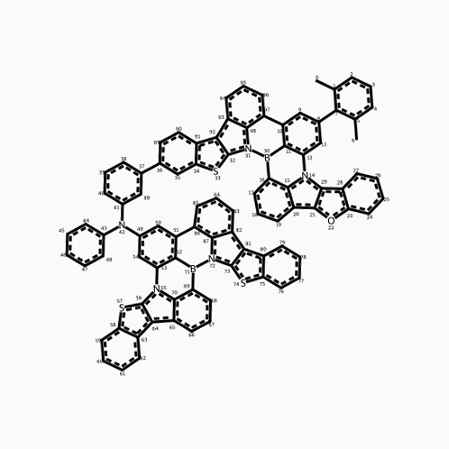 Cc1cccc(C)c1-c1cc2c3c(c1)-n1c4c(cccc4c4oc5ccccc5c41)B3n1c3sc4cc(-c5cccc(N(c6ccccc6)c6cc7c8c(c6)-n6c9sc%10ccccc%10c9c9cccc(c96)B8n6c8sc9ccccc9c8c8cccc-7c86)c5)ccc4c3c3cccc-2c31